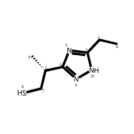 CCc1nc([C@@H](C)CS)n[nH]1